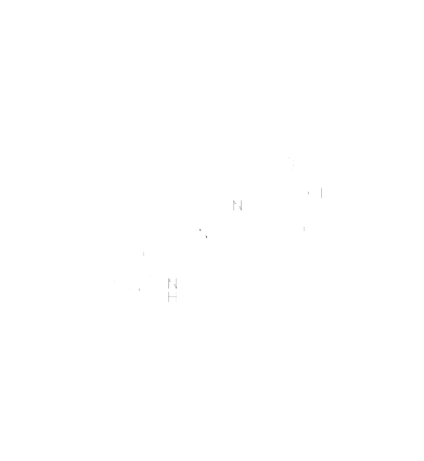 CC(C)(C)OC(=O)Nc1cnc2c3c(ccc2c1)C(=O)C(C(=O)O)C=N3